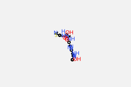 Cc1ncsc1-c1ccc(CNC(=O)[C@@H]2C[C@@H](O)CN2C(=O)[C@@H](NC(=O)[C@H]2CC[C@@H](c3cnc(N4CCC(c5cc6cc(-c7ccccc7O)nnc6[nH]5)CC4)nc3)CC2)C(C)(C)C)cc1